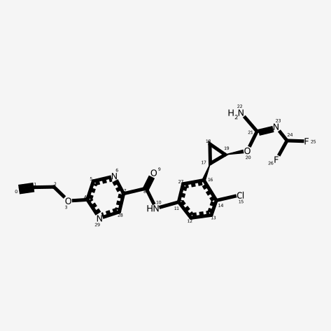 C#CCOc1cnc(C(=O)Nc2ccc(Cl)c([C@H]3C[C@H]3O/C(N)=N\C(F)F)c2)cn1